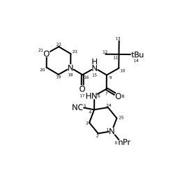 CCCN1CCC(C#N)(NC(=O)C(CC(C)(C)C(C)(C)C)NC(=O)N2CCOCC2)CC1